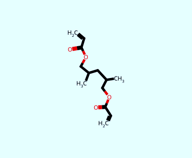 C=CC(=O)OCC(C)CC(C)COC(=O)C=C